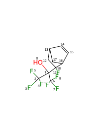 OC(C(F)(F)F)(C(F)(F)F)C1(F)CC2C=CC1C2